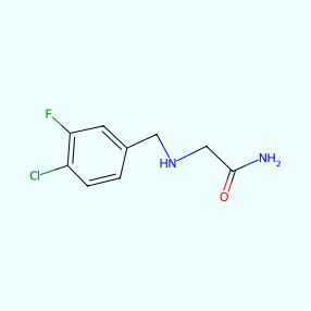 NC(=O)CNCc1ccc(Cl)c(F)c1